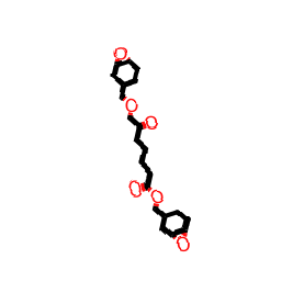 O=C(CCCCC(=O)OCC1CCC2OC2C1)COCC1CCC2OC2C1